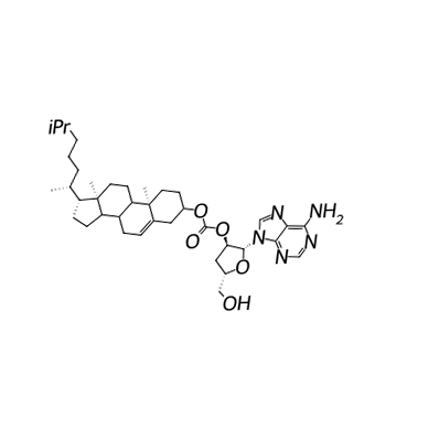 CC(C)CCC[C@@H](C)[C@H]1CCC2C3CC=C4CC(OC(=O)O[C@@H]5C[C@@H](CO)O[C@H]5n5cnc6c(N)ncnc65)CC[C@]4(C)C3CC[C@@]21C